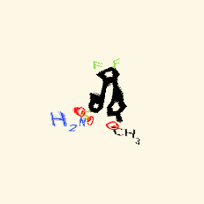 COCc1ccc(-c2cc(F)c(F)cc2-c2ccc(S(N)(=O)=O)cc2)cc1